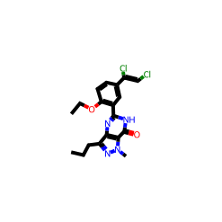 CCCc1nn(C)c2c(=O)[nH]c(-c3cc(C(Cl)=CCl)ccc3OCC)nc12